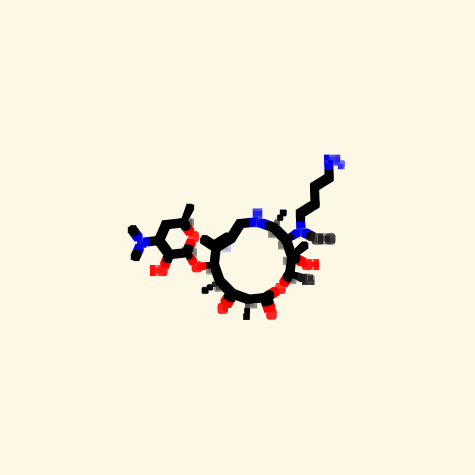 CC[C@H]1OC(=O)[C@H](C)C(=O)[C@H](C)[C@@H](O[C@@H]2O[C@H](C)CC(N(C)C)C2O)/C(C)=C/CN[C@H](C)[C@@H](N(C=O)CCCCN)[C@]1(C)O